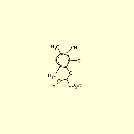 CCOC(=O)C(OCC)Oc1c(C)cc(C)c(C#N)c1C